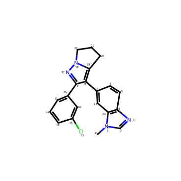 Cn1cnc2ccc(-c3c(-c4cccc(Cl)c4)nn4c3CCC4)cc21